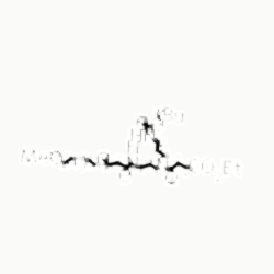 CCOC(=O)CCC(=O)N(CCCNC(=O)CCOCCOCCOC)CCCNC(=O)OC(C)(C)C